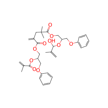 C=C(C)C(=O)OC(COC(=O)C(=C)CC(C)(C)C(=O)OCC(COc1ccccc1)OC(O)C(=C)C)COc1ccccc1